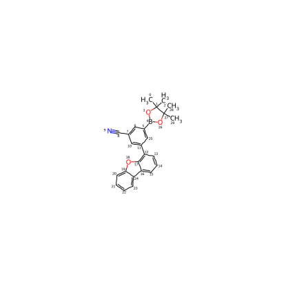 CC1(C)OB(c2cc(C#N)cc(-c3cccc4c3oc3ccccc34)c2)OC1(C)C